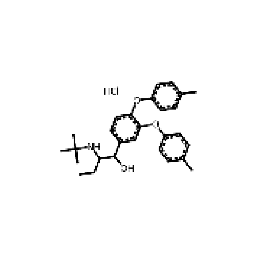 CCC(NC(C)(C)C)C(O)c1ccc(Oc2ccc(C)cc2)c(Oc2ccc(C)cc2)c1.Cl